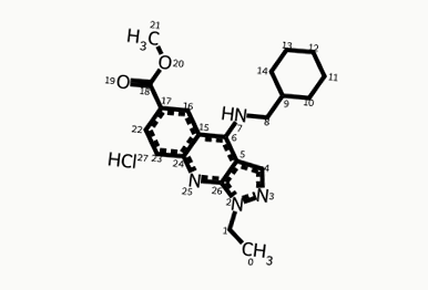 CCn1ncc2c(NCC3CCCCC3)c3cc(C(=O)OC)ccc3nc21.Cl